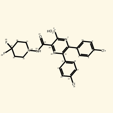 O=C(O)c1nc(-c2ccc(Cl)cc2)c(-c2ccc(Cl)cc2)nc1C(=O)NN1CCC(F)(F)CC1